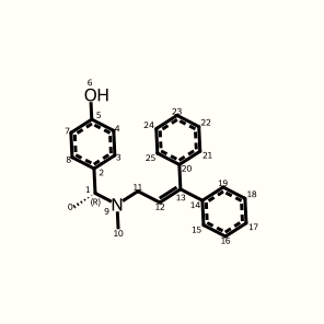 C[C@H](c1ccc(O)cc1)N(C)CC=C(c1ccccc1)c1ccccc1